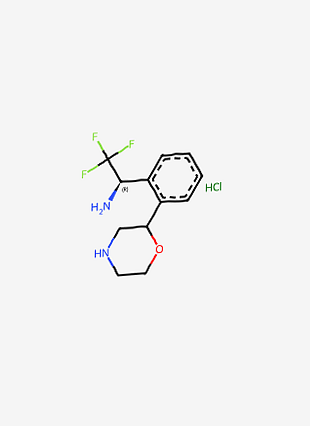 Cl.N[C@H](c1ccccc1C1CNCCO1)C(F)(F)F